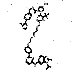 Cc1ncsc1-c1ccc([C@H](C)NC(=O)[C@H]2C[C@H](O)CN2C(=O)C(NC(=O)COCCOCCOc2ccc(-c3nccc(Nc4cc5c(cn4)nc(C)n5C(C)C)n3)cc2)C(C)(C)C)cc1